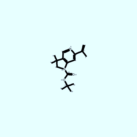 C=C(C)c1cc2c(cn1)C(C)(C)CN2C(=O)OC(C)(C)C